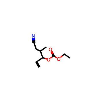 C=CC(OC(=O)OCC)C(C)CC#N